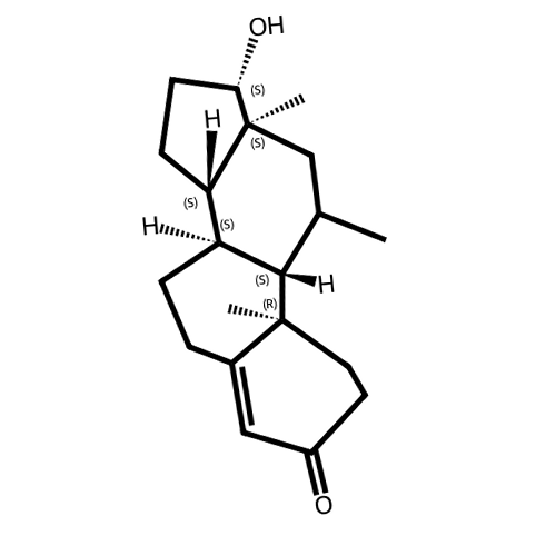 CC1C[C@]2(C)[C@@H](O)CC[C@H]2[C@@H]2CCC3=CC(=O)CC[C@]3(C)[C@@H]12